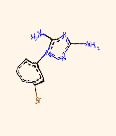 Nc1nc(N)n(-c2cccc(Br)c2)n1